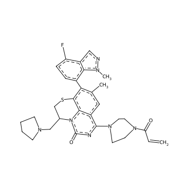 C=CC(=O)N1CCN(c2nc(=O)n3c4c(c(-c5ccc(F)c6cnn(C)c56)c(C)cc24)SCC3CN2CCCC2)CC1